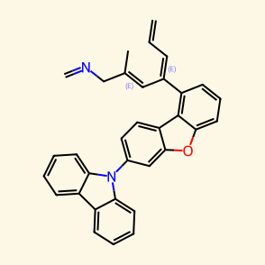 C=C/C=C(\C=C(/C)CN=C)c1cccc2oc3cc(-n4c5ccccc5c5ccccc54)ccc3c12